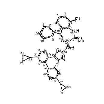 O=C1Nc2c(F)cccc2C(c2ccccc2)=N[C@@H]1Nc1ncc(-c2ncc(C3CC3)cc2-c2cnc(C3CC3)nc2)o1